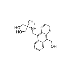 CC(CO)(CO)NCc1c2ccccc2c(CO)c2ccccc12